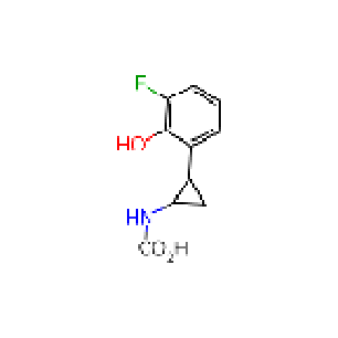 O=C(O)NC1CC1c1cccc(F)c1O